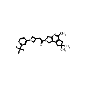 Cc1nc2c(c3c1CC(C)(C)C3)CN(C(=O)CC1CN(c3ccnc(C(F)(F)F)c3)C1)C2